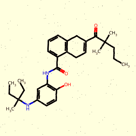 CCCC(C)(C)C(=O)C1=CCc2c(cccc2C(=O)Nc2cc(NC(C)(CC)CC)ccc2O)C1